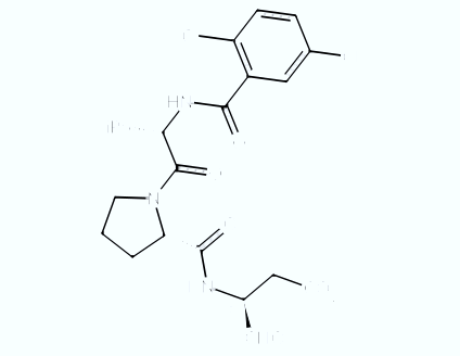 CC(C)[C@H](NC(=O)c1cc(Cl)ccc1Cl)C(=O)N1CCC[C@H]1C(=O)N[C@H](C=O)CC(=O)O